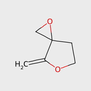 C=C1OCCC12CO2